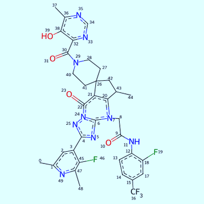 Cc1cc(-c2nc3n(CC(=O)Nc4ccc(C(F)(F)F)cc4F)c4c(c(=O)n3n2)C2(CCN(C(=O)c3ncnc(C)c3O)CC2)CC4C)c(F)c(C)n1